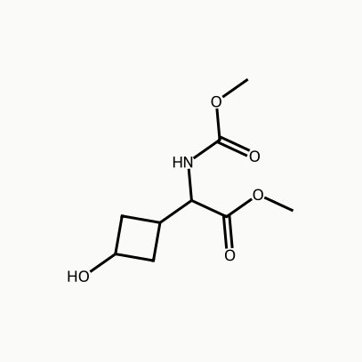 COC(=O)NC(C(=O)OC)C1CC(O)C1